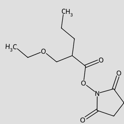 CCCC(COCC)C(=O)ON1C(=O)CCC1=O